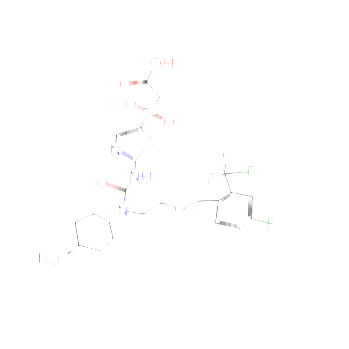 C[C@H]1CC[C@H](N(CCOCc2ccc(F)cc2C(F)(F)F)C(=O)Nc2ncc(S(=O)(=O)CC(=O)O)s2)CC1